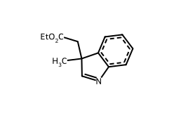 CCOC(=O)CC1(C)C=Nc2ccccc21